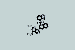 Nc1nc(N)c2cnn(C3Cc4ccccc4N(S(=O)(=O)c4cccc5nsnc45)C3)c2n1